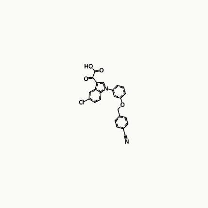 N#Cc1ccc(COc2cccc(-n3cc(C(=O)C(=O)O)c4cc(Cl)ccc43)c2)cc1